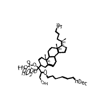 CCCCCCCCCCCCCCCCOC(CO)C(OP(=O)(O)O)(C(=O)O)C1CC[C@@]2(C)C(=CCC3C2CC[C@@]2(C)C3CC[C@@H]2[C@H](C)CCCC(C)C)C1